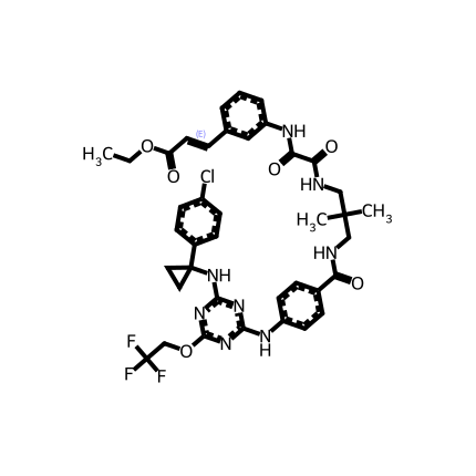 CCOC(=O)/C=C/c1cccc(NC(=O)C(=O)NCC(C)(C)CNC(=O)c2ccc(Nc3nc(NC4(c5ccc(Cl)cc5)CC4)nc(OCC(F)(F)F)n3)cc2)c1